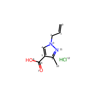 C=CCn1cc(C(=O)O)c(C)n1.Cl